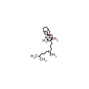 CC(C)CCCN(C)CCCc1cnc(N2C3CCC2CN(C(C)C)C3)nc1